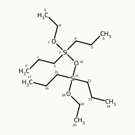 CCC[Si](CCC)(OCC)O[Si](CCC)(CCC)OCC